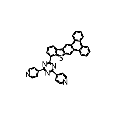 c1cc(-c2nc(-c3ccncc3)nc(-c3ccncc3)n2)c2sc3cc4c5ccccc5c5ccccc5c4cc3c2c1